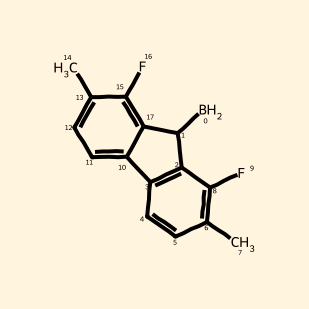 BC1c2c(ccc(C)c2F)-c2ccc(C)c(F)c21